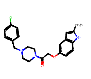 O=C(O)c1cc2cc(OCC(=O)N3CCN(Cc4ccc(Cl)cc4)CC3)ccc2[nH]1